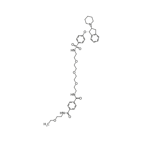 CCOCCNC(=O)c1ccc(C(=O)NCCOCCOCCOCCNS(=O)(=O)c2ccc(O[C@H]3c4ccccc4C[C@@H]3N3CCCCC3)cc2)cc1